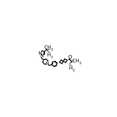 CC(C)c1cnn(CC2CCN(Cc3ccc([C@H]4CC5(C[C@H](C(=O)C(C)C)C5)C4)cc3)CC2)c1